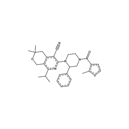 Cc1occc1C(=O)N1CCN(c2nc(C(C)C)c3c(c2C#N)CC(C)(C)OC3)C(c2ccccc2)C1